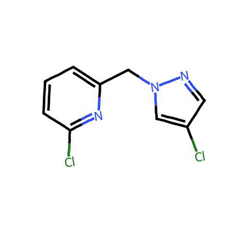 Clc1cnn(Cc2cccc(Cl)n2)c1